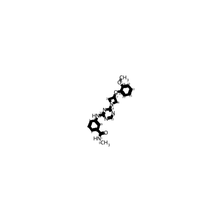 CNC(=O)c1cccc(Nc2ncnc(N3CC(Oc4ccccc4OC)C3)n2)c1